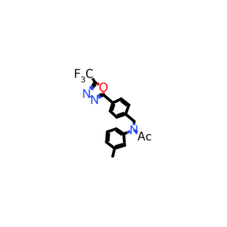 CC(=O)N(Cc1ccc(-c2nnc(C(F)(F)F)o2)cc1)c1cccc(C)c1